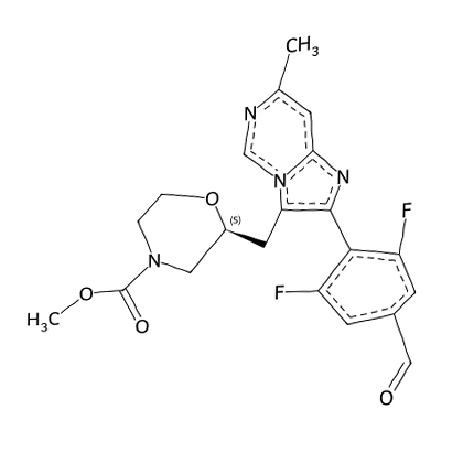 COC(=O)N1CCO[C@@H](Cc2c(-c3c(F)cc(C=O)cc3F)nc3cc(C)ncn23)C1